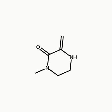 C=C1NCCN(C)C1=O